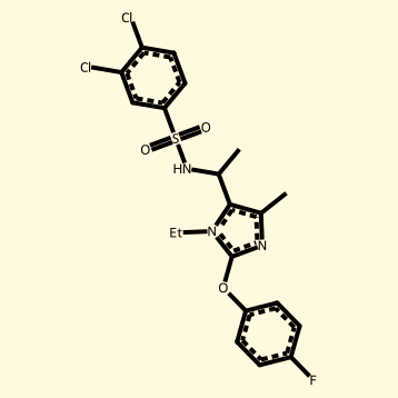 CCn1c(Oc2ccc(F)cc2)nc(C)c1C(C)NS(=O)(=O)c1ccc(Cl)c(Cl)c1